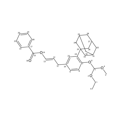 CCOC(OC)Oc1ccc(CC=COC(=O)c2ccccc2)cc1C12CC3CC(CC(C3)C1)C2